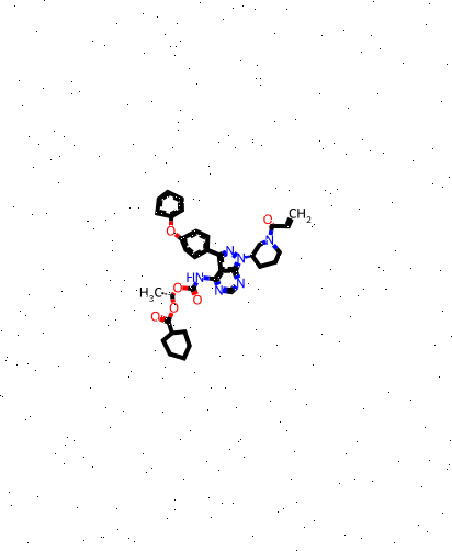 C=CC(=O)N1CCC[C@@H](n2nc(-c3ccc(Oc4ccccc4)cc3)c3c(NC(=O)O[C@@H](C)OC(=O)C4CCCCC4)ncnc32)C1